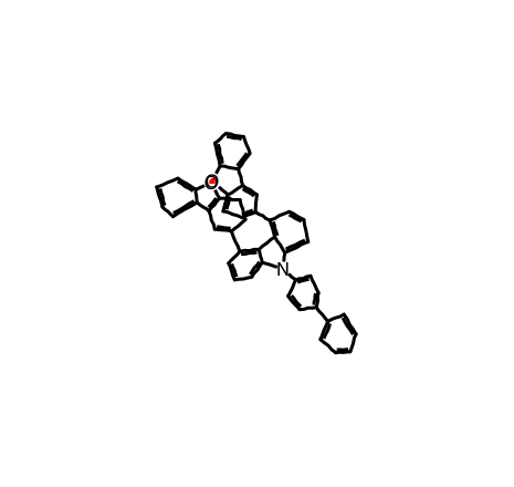 C1=C(c2cccc3c2c2c(-c4ccc5oc6ccccc6c5c4)cccc2n3-c2ccc(-c3ccccc3)cc2)CCc2oc3ccccc3c21